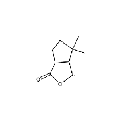 CC1(C)CCC2C(=O)O[CH]C21